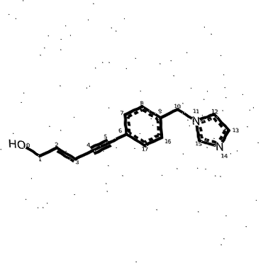 OC/C=C/C#Cc1ccc(Cn2ccnc2)cc1